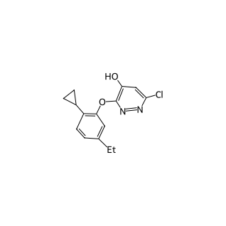 CCc1ccc(C2CC2)c(Oc2nnc(Cl)cc2O)c1